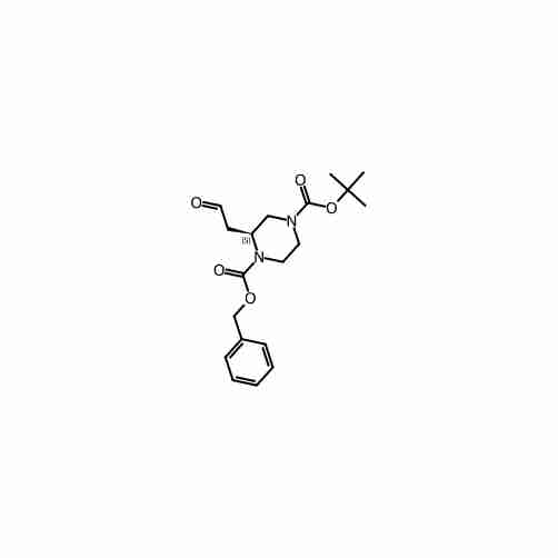 CC(C)(C)OC(=O)N1CCN(C(=O)OCc2ccccc2)[C@@H](CC=O)C1